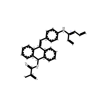 C=C/C=C(\C=C)Nc1ccc(C=C2c3ccccc3C(OC(=O)C(=C)C)c3ccccc32)cc1